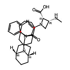 CN[C@@H]1CN(c2nc3ccccc3n(C3C[C@H]4CCC[C@@H](C3)N4C3CC4CCCCC(C4)C3)c2=O)[C@@H]1C(=O)O